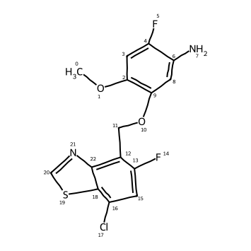 COc1cc(F)c(N)cc1OCc1c(F)cc(Cl)c2scnc12